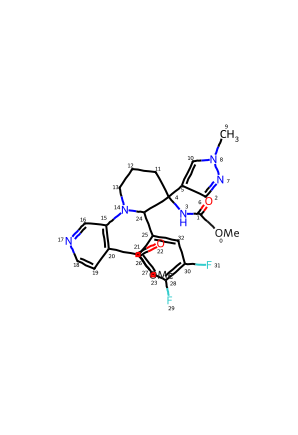 COC(=O)NC1(c2cnn(C)c2)CCCN(c2cnccc2C(=O)OC)C1c1ccc(F)c(F)c1